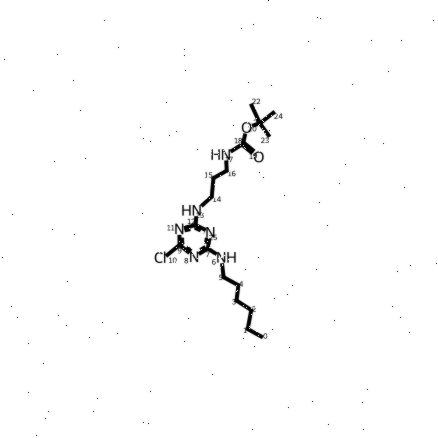 CCCCCCNc1nc(Cl)nc(NCCCNC(=O)OC(C)(C)C)n1